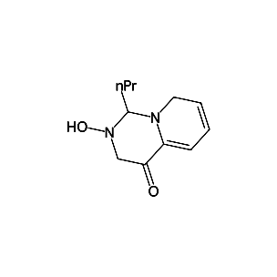 CCCC1N(O)CC(=O)C2=CC=CCN21